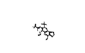 C=CNC1=C(/C=C(\C)C(C)=O)C(C(C)(C)C)Cc2c1nc(CC)c1ccccc21